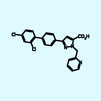 O=C(O)c1cc(-c2ccc(-c3ccc(Cl)cc3Cl)cc2)nn1Cc1ccccn1